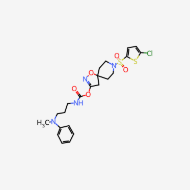 CN(CCCNC(=O)OC1=NOC2(CCN(S(=O)(=O)c3ccc(Cl)s3)CC2)C1)c1ccccc1